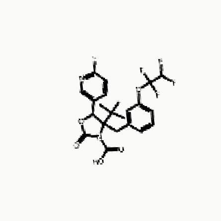 CC(C)(C)C1(Cc2cccc(OC(F)(F)C(F)F)c2)C(c2ccc(F)nc2)OC(=O)N1C(=O)O